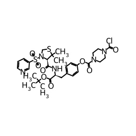 CC(C)(C)OC(=O)[C@H](Cc1ccc(OC(=O)N2CCN(C(=O)Cl)CC2)cc1)NC(=O)[C@H]1N(S(=O)(=O)c2cccnc2)CSC1(C)C